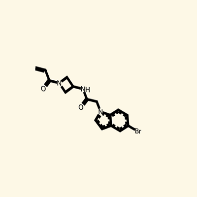 C=CC(=O)N1CC(NC(=O)Cn2ccc3cc(Br)ccc32)C1